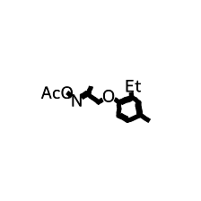 CCc1cc(C)ccc1OC/C(C)=N/OC(C)=O